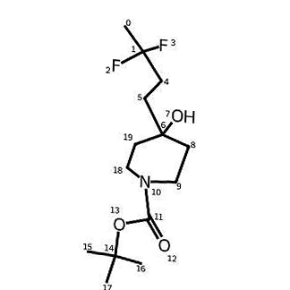 CC(F)(F)CCC1(O)CCN(C(=O)OC(C)(C)C)CC1